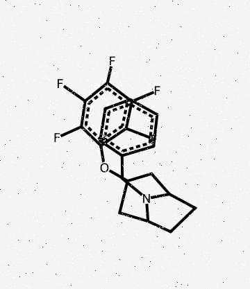 Fc1c(F)c(F)c(OC2CC3CCC(C2)N3Cc2ccccc2)c(F)c1F